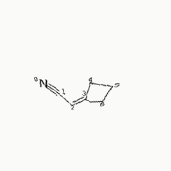 N#CC=C1CCC1